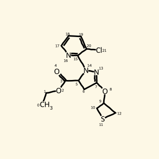 CCOC(=O)C1CC(OC2CSC2)=NN1c1ncccc1Cl